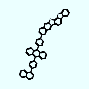 c1ccc2c(-c3ccc(-c4c5ccccc5c(-c5ccc(-c6ccc7cc8oc9c(ccc%10c%11ccccc%11oc%109)c8cc7c6)cc5)c5ccccc45)cc3)cccc2c1